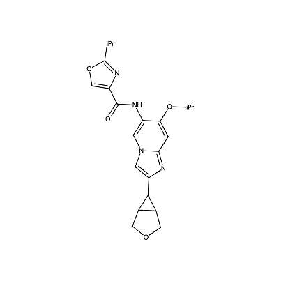 CC(C)Oc1cc2nc(C3C4COCC43)cn2cc1NC(=O)c1coc(C(C)C)n1